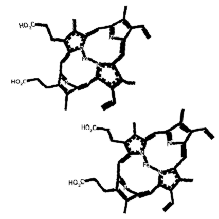 C=CC1=C(C)C2=NC/1=C\c1c(C)c(C=C)c3[n]1[Fe][n]1/c(c(C)c(CCC(=O)O)/c1=C/C1=NC(=C\3)/C(C)=C1CCC(=O)O)=C\2.C=CC1=C(C)C2=NC/1=C\c1c(C)c(C=C)c3[n]1[Fe][n]1/c(c(C)c(CCC(=O)O)/c1=C/C1=NC(=C\3)/C(C)=C1CCC(=O)O)=C\2